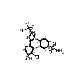 Cc1ccc(-c2nc(C(F)(F)F)nn2-c2ccc(S(N)(=O)=O)cc2)cc1Cl